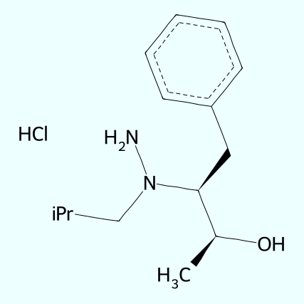 CC(C)CN(N)[C@@H](Cc1ccccc1)[C@H](C)O.Cl